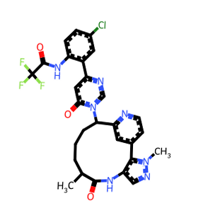 CC1CCCC(n2cnc(-c3cc(Cl)ccc3NC(=O)C(F)(F)F)cc2=O)c2cc(ccn2)-c2c(cnn2C)NC1=O